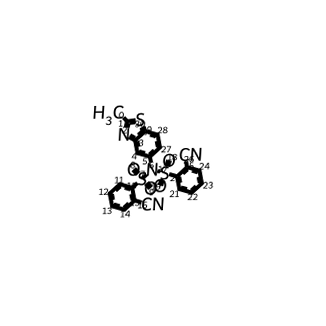 Cc1nc2cc(N(S(=O)(=O)c3ccccc3C#N)S(=O)(=O)c3ccccc3C#N)ccc2s1